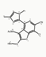 CCCCSc1sc2c(Cl)c(C#N)nc(-c3nc(C)cn3C)c2c1NC(C)=O